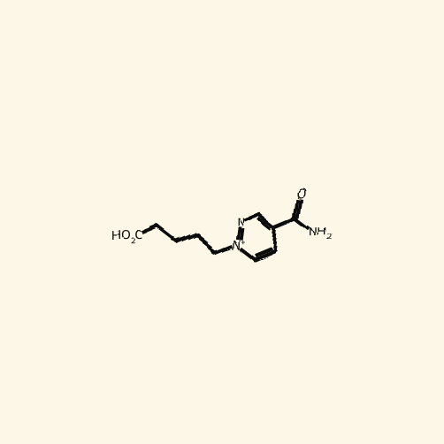 NC(=O)c1cc[n+](CCCCC(=O)O)nc1